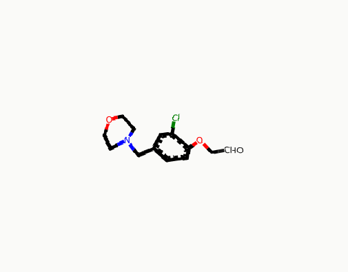 O=CCOc1ccc(CN2CCOCC2)cc1Cl